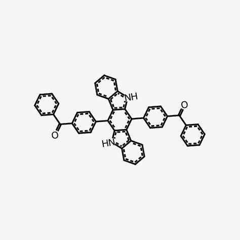 O=C(c1ccccc1)c1ccc(-c2c3[nH]c4ccccc4c3c(-c3ccc(C(=O)c4ccccc4)cc3)c3[nH]c4ccccc4c23)cc1